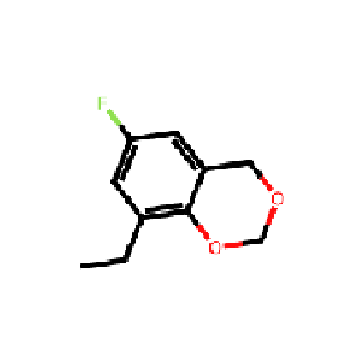 CCc1cc(F)cc2c1OCOC2